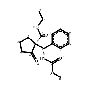 CCOC(=O)[C@@]1([C@@H](NC(=O)OC)c2ccccc2)CCCC1=O